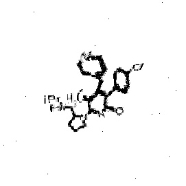 CC1=C(c2ccncc2)C(c2ccc(Cl)cc2)C(=O)N=C1N1CCCC1CNC(C)C